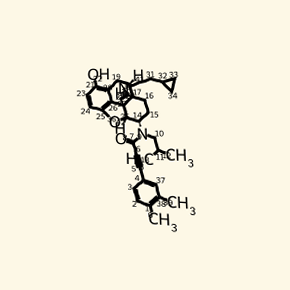 Cc1ccc(C#CC(=O)N(CC(C)C)[C@H]2CC[C@H]3[C@H]4Cc5c(O)ccc6c5[C@@]3(CCN4CC3CC3)[C@H]2O6)cc1C